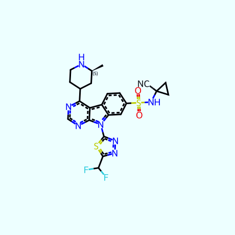 C[C@H]1CC(c2ncnc3c2c2ccc(S(=O)(=O)NC4(C#N)CC4)cc2n3-c2nnc(C(F)F)s2)CCN1